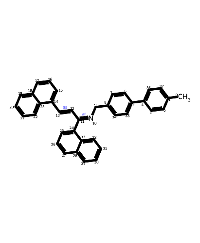 Cc1ccc(-c2ccc(C/N=C(\C=C\c3cccc4ccccc34)c3cccc4ccccc34)cc2)cc1